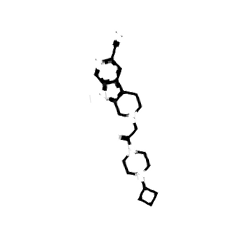 N#Cc1cc2c3c([nH]c2cn1)CN(CC(=O)N1CCN(C2CCC2)CC1)CC3